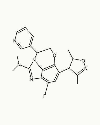 CC1=NOC(C)C1c1cc(F)c2nc(N(C)C)n3c2c1OCC3c1cccnc1